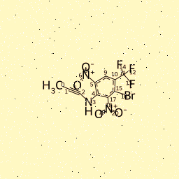 CC#CNc1c([N+](=O)[O-])cc(C(F)(F)F)c(Br)c1[N+](=O)[O-]